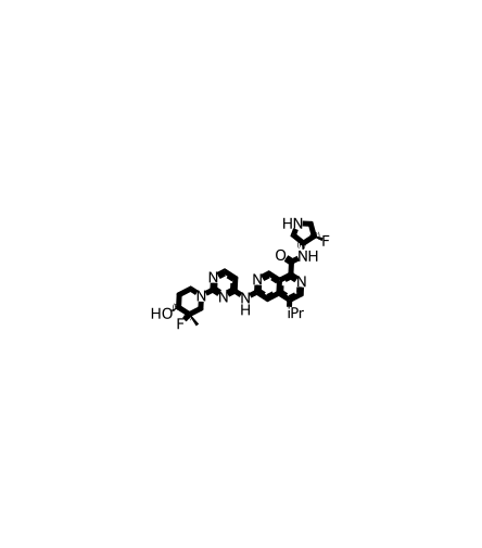 CC(C)c1cnc(C(=O)N[C@@H]2CNC[C@H]2F)c2cnc(Nc3ccnc(N4CC[C@@H](O)[C@@](C)(F)C4)n3)cc12